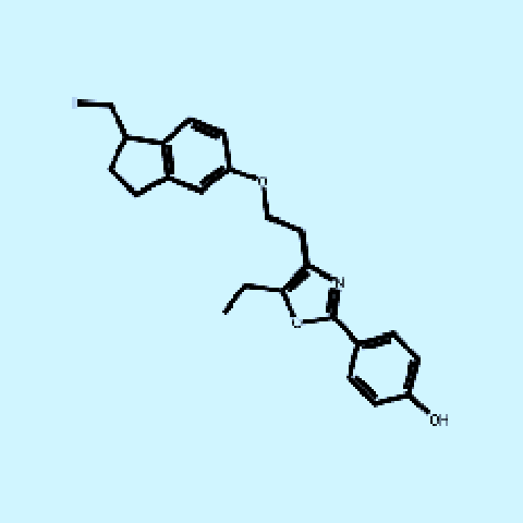 CCc1oc(-c2ccc(O)cc2)nc1CCOc1ccc2c(c1)CCC2CI